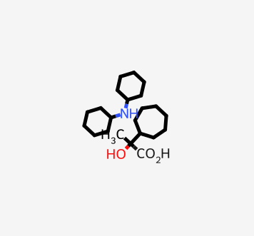 C1CCC(NC2CCCCC2)CC1.CC(O)(C(=O)O)C1CCCCCC1